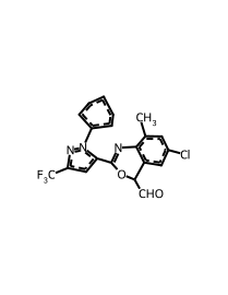 Cc1cc(Cl)cc2c1N=C(c1cc(C(F)(F)F)nn1-c1ccccc1)OC2C=O